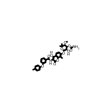 CO[C@@H]1[C@@H](OC(N)=O)[C@@H](O)[C@H](Oc2ccc3c(O)c(NC(=O)c4cccc(Oc5ccc(C)cc5)c4)c(=O)oc3c2C)OC1(C)C